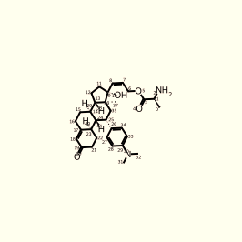 C[C@H](N)C(=O)OC/C=C\[C@]1(O)CC[C@H]2[C@@H]3CCC4=CC(=O)CC[C@@H]4[C@H]3[C@@H](c3ccc(N(C)C)cc3)C[C@@]21C